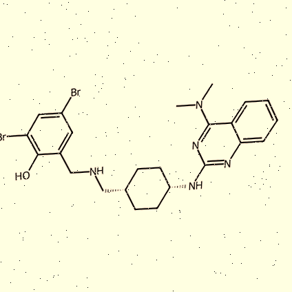 CN(C)c1nc(N[C@H]2CC[C@@H](CNCc3cc(Br)cc(Br)c3O)CC2)nc2ccccc12